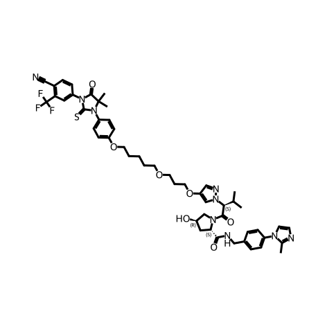 Cc1nccn1-c1ccc(CNC(=O)[C@@H]2C[C@@H](O)CN2C(=O)[C@H](C(C)C)n2cc(OCCCOCCCCCOc3ccc(N4C(=S)N(c5ccc(C#N)c(C(F)(F)F)c5)C(=O)C4(C)C)cc3)cn2)cc1